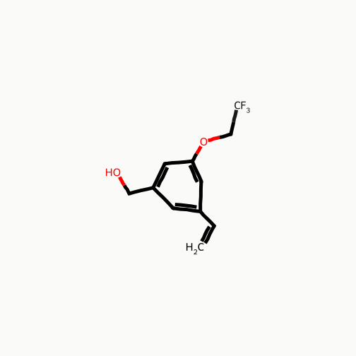 C=Cc1cc(CO)cc(OCC(F)(F)F)c1